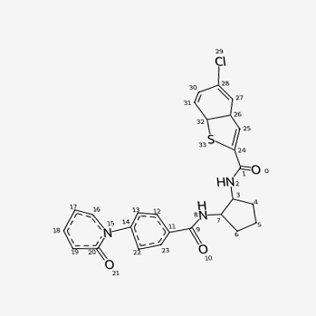 O=C(NC1CCCC1NC(=O)c1ccc(-n2ccccc2=O)cc1)C1=CC2C=C(Cl)C=CC2S1